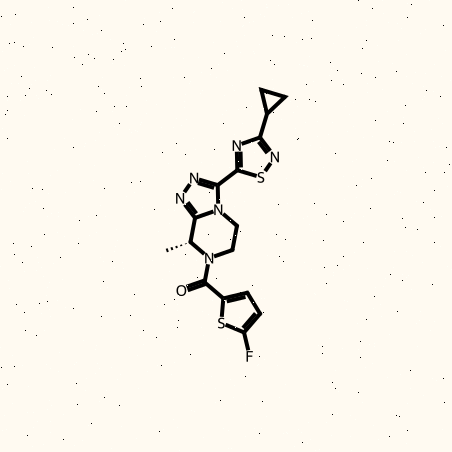 C[C@@H]1c2nnc(-c3nc(C4CC4)ns3)n2CCN1C(=O)c1ccc(F)s1